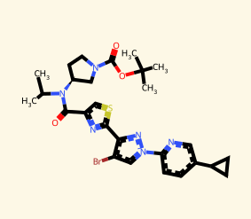 CC(C)N(C(=O)c1csc(-c2nn(-c3ccc(C4CC4)cn3)cc2Br)n1)[C@H]1CCN(C(=O)OC(C)(C)C)C1